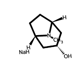 CN1[C@@H]2CC[C@H]1C[C@@H](O)C2.[NaH]